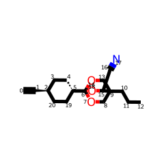 C#C[C@H]1CC[C@H](C23OCC(CCC)(CO2)C(C#N)O3)CC1